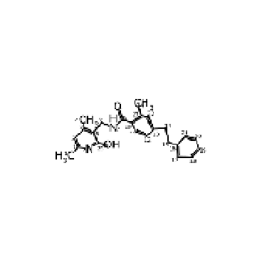 Cc1cc(C)c(CNC(=O)c2ccc(CCc3ccccc3)cc2C)c(O)n1